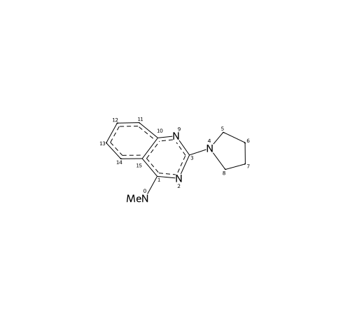 CNc1nc(N2CCCC2)nc2ccccc12